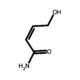 NC(=O)/C=C\CO